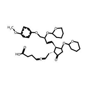 COc1ccc(OCC(/C=C/[C@H]2C(OC3CCCCO3)CC(=O)[C@@H]2CC=C=CCCC(=O)O)OC2CCCCO2)cc1